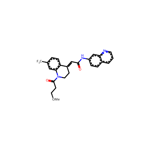 COCCC(=O)N1CCC(=CC(=O)Nc2ccc3cccnc3c2)c2ccc(C(F)(F)F)cc21